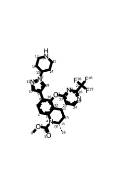 COC(=O)N1c2ccc(-c3cnn(C4CCNCC4)c3)c(Oc3ccnc(C(F)(F)F)n3)c2CC[C@@H]1C